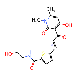 Cc1cc(O)c(C(=O)/C=C/c2ccc(C(=O)NCCO)s2)c(=O)n1C